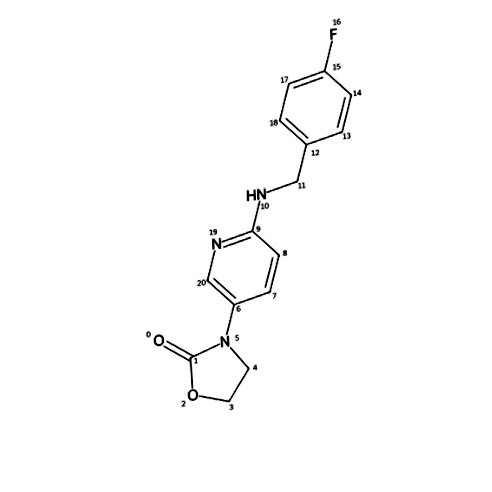 O=C1OCCN1c1ccc(NCc2ccc(F)cc2)nc1